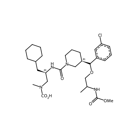 COC(=O)NC(C)COC(c1cccc(Cl)c1)[C@@H]1CCCN(C(=O)N[C@H](CC2CCCCC2)CN(C)C(=O)O)C1